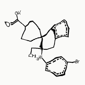 CCC1(Nc2cccc(Br)c2)Cc2ccccc2C12CCC(C(=O)O)CC2